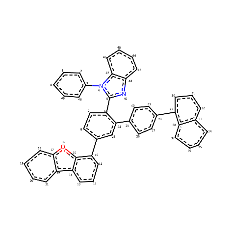 c1ccc(-n2c(-c3ccc(-c4cccc5c4oc4ccccc45)cc3-c3ccc(-c4cccc5ccccc45)cc3)nc3ccccc32)cc1